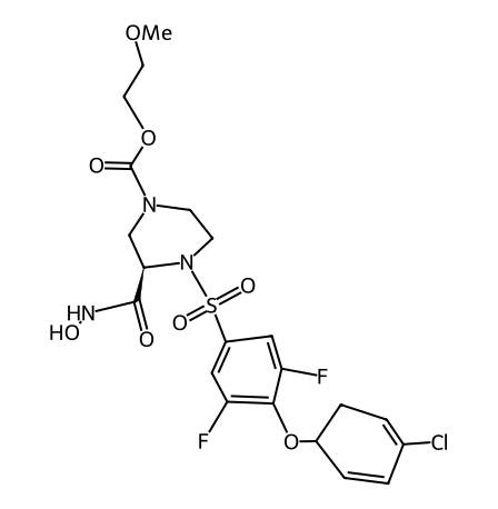 COCCOC(=O)N1CCN(S(=O)(=O)c2cc(F)c(OC3C=CC(Cl)=CC3)c(F)c2)[C@@H](C(=O)NO)C1